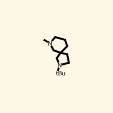 CN1CCCC2(CCN(C(C)(C)C)C2)C1